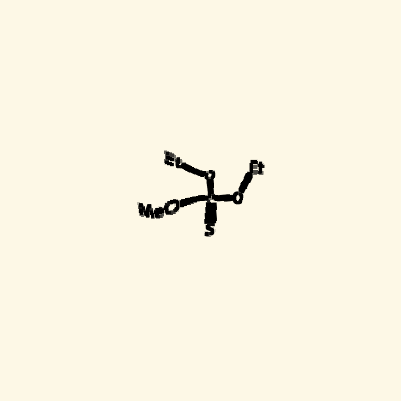 CCOP(=S)(OC)OCC